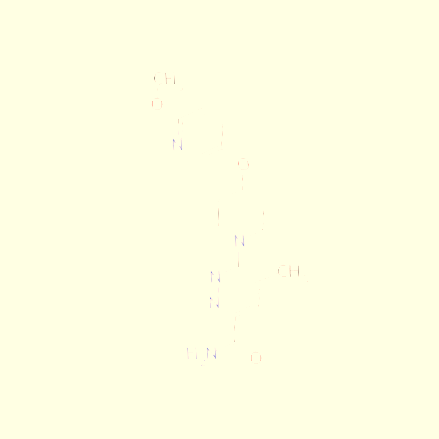 COc1ccc(OC2CCN(c3nnc(C(N)=O)cc3C)CC2)cn1